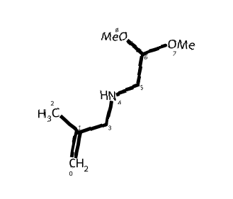 C=C(C)CNCC(OC)OC